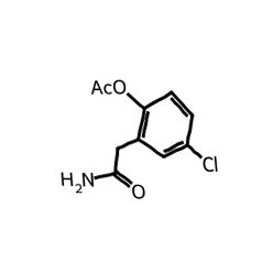 CC(=O)Oc1ccc(Cl)cc1CC(N)=O